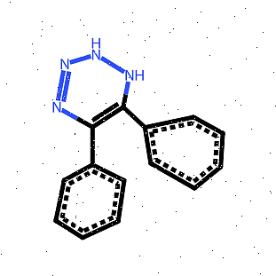 c1ccc(C2=C(c3ccccc3)NNN=N2)cc1